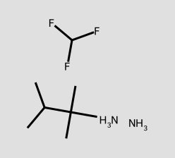 CC(C)C(C)(C)C.FC(F)F.N.N